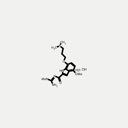 CNC(N)=NC(=O)c1cc2c(OC)ccc(OCCCN(C)C)c2[nH]1.Cl.Cl